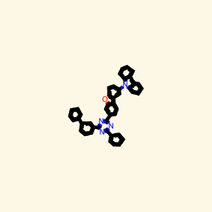 c1ccc(-c2cccc(-c3nc(-c4ccccc4)nc(-c4ccc5c(c4)oc4ccc(-n6c7ccccc7c7ccccc76)cc45)n3)c2)cc1